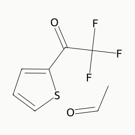 CC=O.O=C(c1cccs1)C(F)(F)F